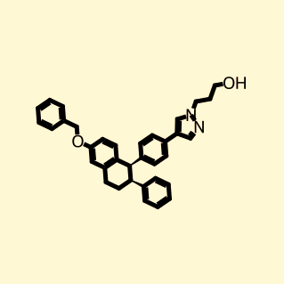 OCCCn1cc(-c2ccc([C@@H]3c4ccc(OCc5ccccc5)cc4CC[C@@H]3c3ccccc3)cc2)cn1